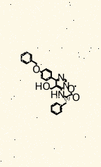 COC(=O)[C@H](Cc1ccccc1)Nc1ncnc(-c2ccc(OCc3ccccc3)cc2)c1CO